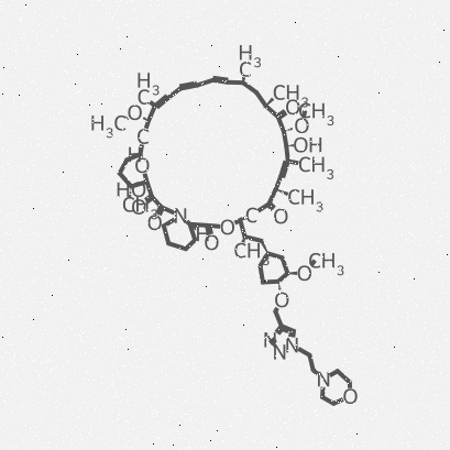 CO[C@H]1C[C@@H]2CC[C@@H](C)[C@@](O)(O2)C(=O)C(=O)N2CCCC[C@H]2C(=O)O[C@H]([C@H](C)C[C@@H]2CC[C@@H](OCc3cn(CCN4CCOCC4)nn3)[C@H](OC)C2)CC(=O)[C@H](C)/C=C(\C)[C@@H](O)[C@@H](OC)C(=O)[C@H](C)C[C@H](C)/C=C/C=C/C=C/1C